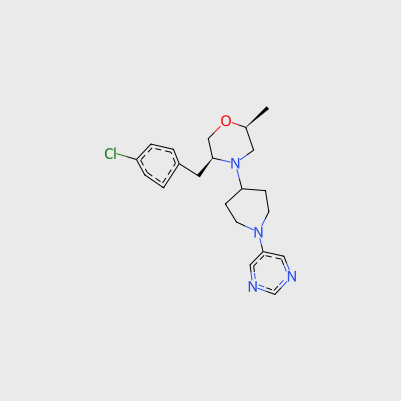 C[C@H]1CN(C2CCN(c3cncnc3)CC2)[C@@H](Cc2ccc(Cl)cc2)CO1